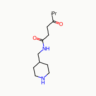 CC(C)C(=O)CCC(=O)NCC1CCNCC1